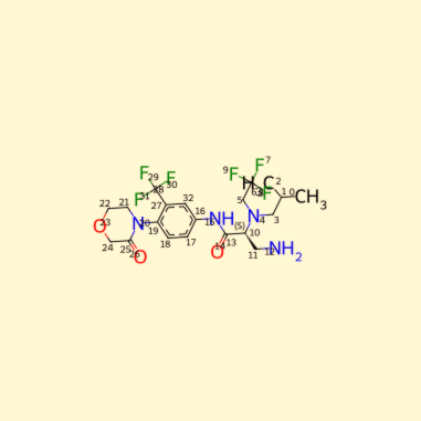 CC(C)CN(CC(F)(F)F)[C@@H](CN)C(=O)Nc1ccc(N2CCOCC2=O)c(C(F)(F)F)c1